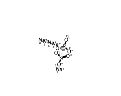 O=[Si]([O-])[O-].[Na+].[Na+].[Na+].[Na+].[Na+].[O-]B([O-])[O-]